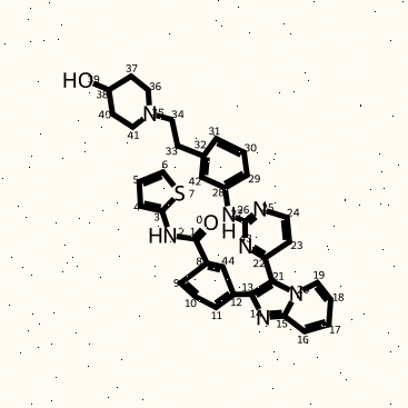 O=C(Nc1cccs1)c1cccc(-c2nc3ccccn3c2-c2ccnc(Nc3cccc(CCN4CCC(O)CC4)c3)n2)c1